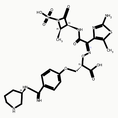 Cc1sc(N)nc1/C(=N/O[C@@H](COc1ccc(C(=N)N[C@@H]2CCCNC2)cc1)C(=O)O)C(=O)N[C@@H]1C(=O)N(S(=O)(=O)O)[C@@H]1C